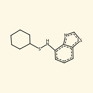 c1cc(NSC2CCCCC2)c2ncsc2c1